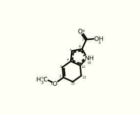 COC1=Cc2cc(C(=O)O)[nH]c2CC1